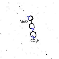 COc1ncccc1C1CCN([C@H]2CCCN(C(=O)O)CC2)CC1